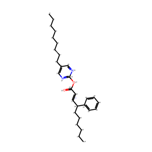 CCCCCCCCCc1cnc(OC(=O)/C=C/C(CCCCCC)c2ccccc2)nc1